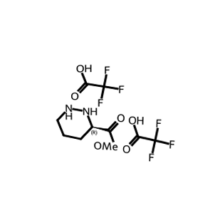 COC(=O)[C@H]1CCCNN1.O=C(O)C(F)(F)F.O=C(O)C(F)(F)F